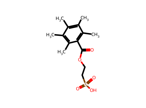 Cc1c(C)c(C)c(C(=O)OCCS(=O)(=O)O)c(C)c1C